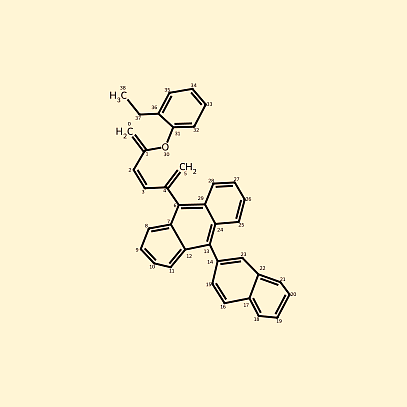 C=C(/C=C\C(=C)c1c2ccccc2c(-c2ccc3ccccc3c2)c2ccccc12)Oc1ccccc1CC